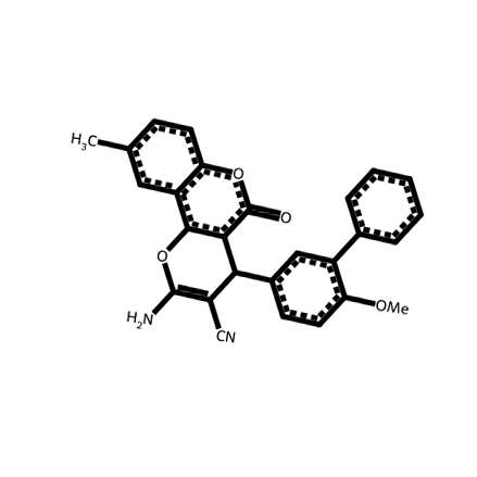 COc1ccc(C2C(C#N)=C(N)Oc3c2c(=O)oc2ccc(C)cc32)cc1-c1ccccc1